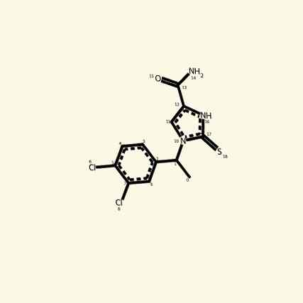 CC(c1ccc(Cl)c(Cl)c1)n1cc(C(N)=O)[nH]c1=S